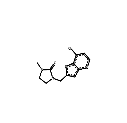 CN1CCN(Cc2cc3nccc(Cl)c3s2)C1=O